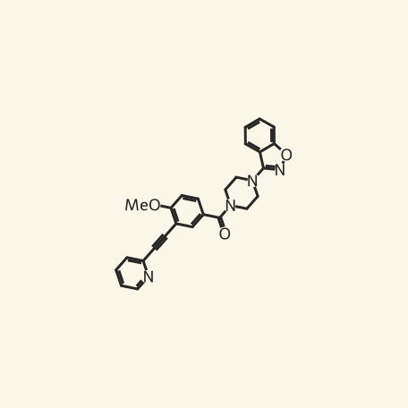 COc1ccc(C(=O)N2CCN(c3noc4ccccc34)CC2)cc1C#Cc1ccccn1